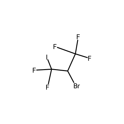 FC(F)(F)C(Br)C(F)(F)I